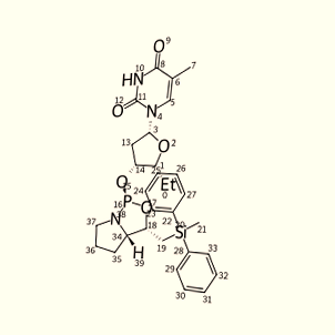 CC[C@H]1O[C@@H](n2cc(C)c(=O)[nH]c2=O)C[C@H]1O[P@@]1O[C@H](C[Si](C)(c2ccccc2)c2ccccc2)[C@@H]2CCCN21